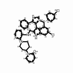 O=C(Nc1cccnc1N1CCC(n2ccccc2=O)CC1)c1[nH]c2cc(Cl)cc3c2c1-c1c(-c2ccccc2)ncn1[C@@H]3c1ccc(Cl)cc1